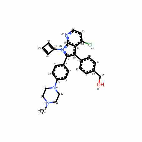 CN1CCN(c2ccc(-c3c(-c4ccc(CO)cc4)c4c(Cl)ccnc4n3C3=CC=C3)cc2)CC1